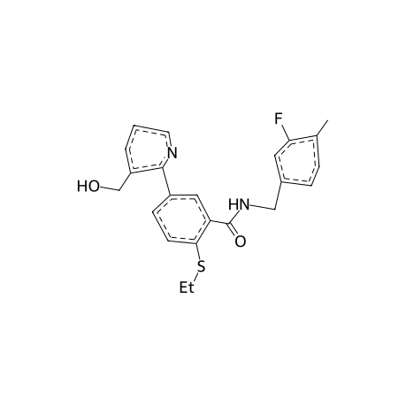 CCSc1ccc(-c2ncccc2CO)cc1C(=O)NCc1ccc(C)c(F)c1